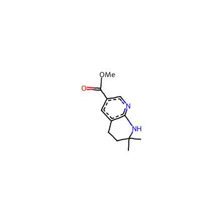 COC(=O)c1cnc2c(c1)CCC(C)(C)N2